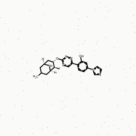 CC1C[C@H]2C[C@H](Oc3ncc(-c4ccc(-n5ccnc5)cc4O)nn3)[C@@H](F)[C@@H](C1)N2